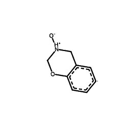 [O-][NH+]1COc2cc[c]cc2C1